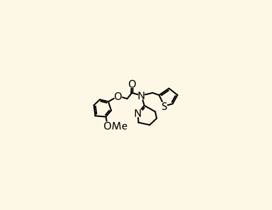 COc1cccc(OCC(=O)N(Cc2cccs2)C2=NCCCC2)c1